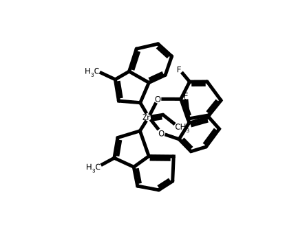 C[CH]=[Zr]([O]c1ccccc1F)([O]c1ccccc1F)([CH]1C=C(C)c2ccccc21)[CH]1C=C(C)c2ccccc21